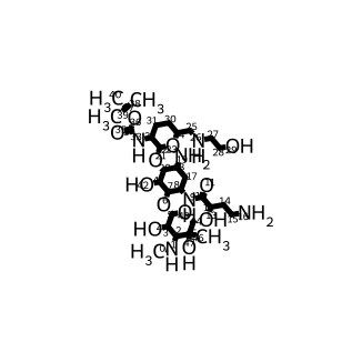 CNC1C(O)C(OC2C(NC(=O)C(O)CCN)CC(N)C(OC3OC(CNCCO)CCC3NC(=O)OC(C)(C)C)C2O)OCC1(C)O